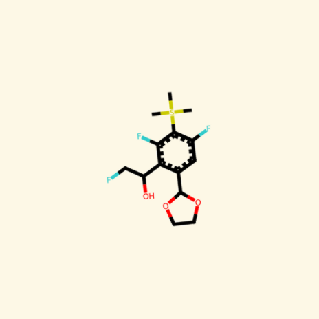 CS(C)(C)c1c(F)cc(C2OCCO2)c(C(O)CF)c1F